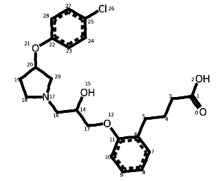 O=C(O)CCCc1ccccc1OCC(O)CN1CCC(Oc2ccc(Cl)cc2)C1